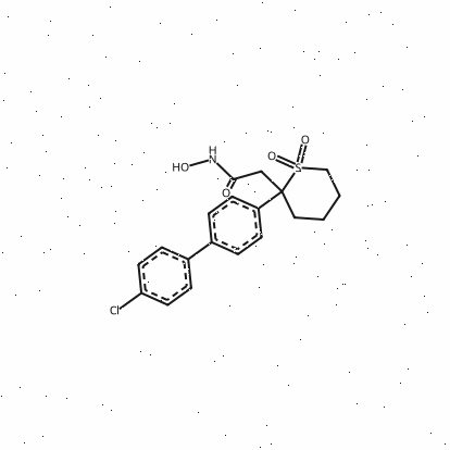 O=C(CC1(c2ccc(-c3ccc(Cl)cc3)cc2)CCCCS1(=O)=O)NO